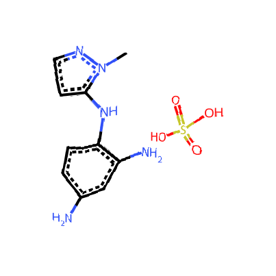 Cn1nccc1Nc1ccc(N)cc1N.O=S(=O)(O)O